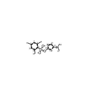 Cc1cc(C)c(S(=O)(=O)Oc2ncc(N(C)C)s2)c(C)c1